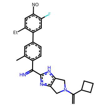 C=C(C1CCC1)N1Cc2nc(C(=N)c3ccc(-c4cc(F)c(N=O)cc4CC)cc3C)[nH]c2C1